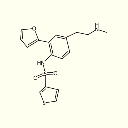 CNCCc1ccc(NS(=O)(=O)c2ccsc2)c(-c2ccco2)c1